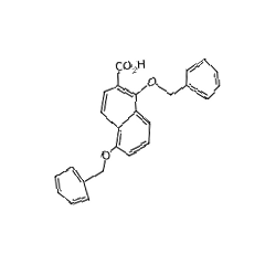 O=C(O)c1ccc2c(OCc3ccccc3)cccc2c1OCc1ccccc1